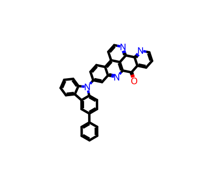 O=C1c2cccnc2-c2nccc3c2c1nc1cc(-n2c4ccccc4c4cc(-c5ccccc5)ccc42)ccc13